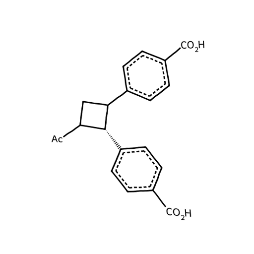 CC(=O)C1CC(c2ccc(C(=O)O)cc2)[C@@H]1c1ccc(C(=O)O)cc1